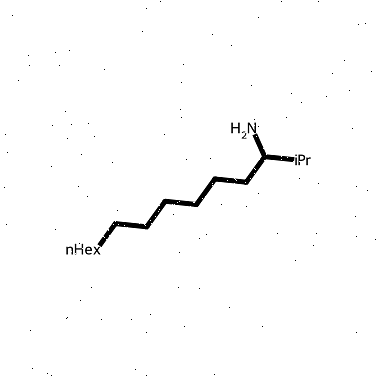 CCCCCCCCCCCCC(N)C(C)C